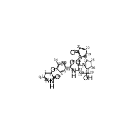 Cc1cc(Oc2ccc(C(=O)N[C@H](C)C(=O)N3[C@H](c4cccc(Cl)c4)CC[C@@H]3C(C)(C)O)nc2C)c(=O)[nH]n1